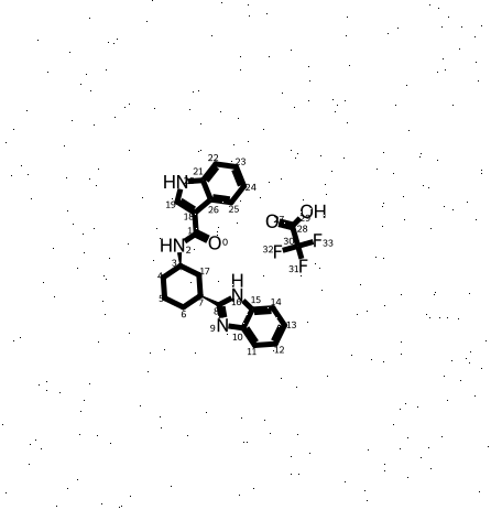 O=C(N[C@@H]1CCC[C@H](c2nc3ccccc3[nH]2)C1)c1c[nH]c2ccccc12.O=C(O)C(F)(F)F